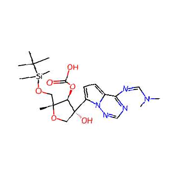 CN(C)/C=N\c1ncnn2c([C@@]3(O)CO[C@](C)(CO[Si](C)(C)C(C)(C)C)[C@H]3OC(=O)O)ccc12